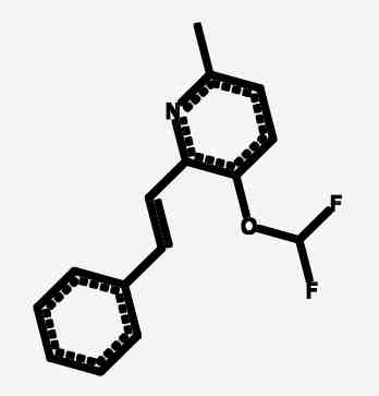 Cc1ccc(OC(F)F)c(/C=C/c2ccccc2)n1